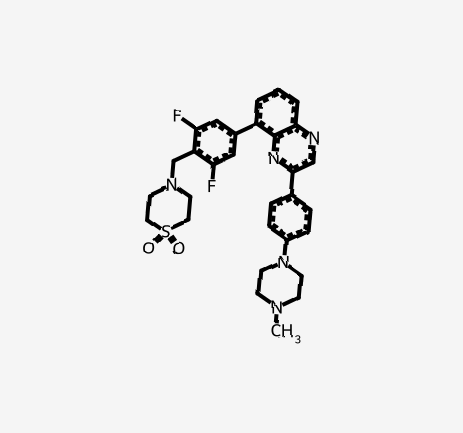 CN1CCN(c2ccc(-c3cnc4cccc(-c5cc(F)c(CN6CCS(=O)(=O)CC6)c(F)c5)c4n3)cc2)CC1